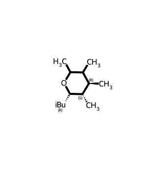 CC[C@@H](C)C1OC(C)C(C)[C@@H](C)[C@@H]1C